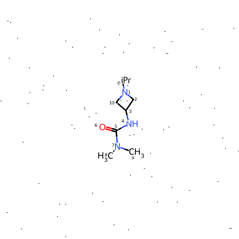 CC(C)N1CC(NC(=O)N(C)C)C1